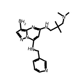 Bc1cnn2c(NCc3cccnc3)cc(NCC(C)(C)CN(C)C)nc12